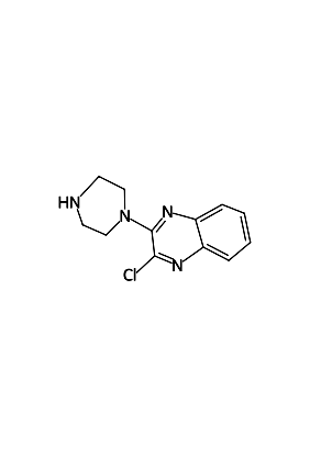 Clc1nc2ccccc2nc1N1CCNCC1